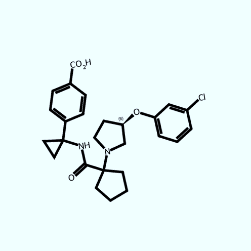 O=C(O)c1ccc(C2(NC(=O)C3(N4CC[C@@H](Oc5cccc(Cl)c5)C4)CCCC3)CC2)cc1